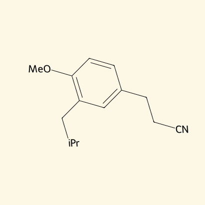 COc1ccc(CCC#N)cc1CC(C)C